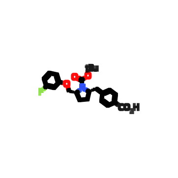 CC(C)(C)OC(=O)N1[C@@H](COc2cccc(F)c2)CC[C@H]1Cc1ccc(C(=O)O)cc1